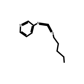 CCCCCN=C=Nc1cccnc1